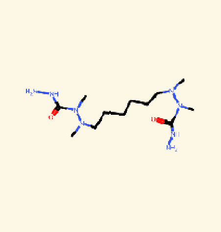 CN(CCCCCCN(C)N(C)C(=O)NN)N(C)C(=O)NN